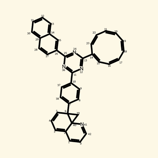 C1=CC2=CC=CC3(c4ccc(-c5nc(-c6ccccccccc6)nc(-c6ccc7ccccc7c6)n5)cc4)CC23N=C1